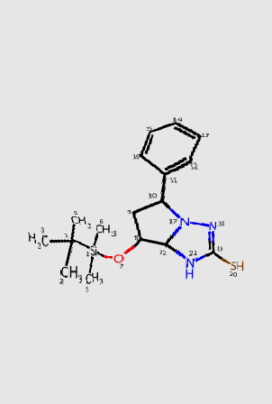 CC(C)(C)[Si](C)(C)OC1CC(c2ccccc2)N2N=C(S)NC12